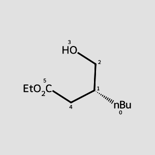 CCCC[C@@H](CO)CC(=O)OCC